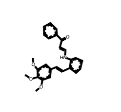 COc1cc(C=Cc2ccccc2NC=CC(=O)c2ccccc2)cc(OC)c1OC